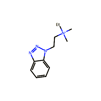 CC[N+](C)(C)CCn1nnc2ccccc21